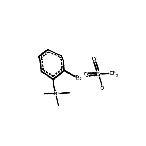 C[N+](C)(C)c1ccccc1Br.O=S(=O)([O-])C(F)(F)F